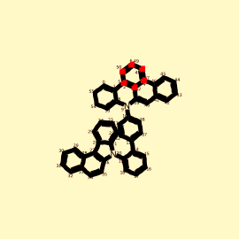 C1=C(c2ccccc2)C(N(c2ccc(-c3ccccc3-n3c4ccccc4c4c5ccccc5ccc43)cc2)c2cc3ccccc3c3ccccc23)=CCC1